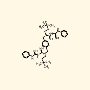 CC(C)(C)CCN(Cc1ccc(CN(CCC(C)(C)C)C(=N)NC(=N)Nc2ccccc2)cc1)C(=N)NC(=N)Nc1ccccc1